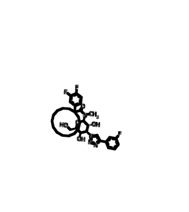 CN(C(=O)C1(c2ccc(F)c(F)c2)CCCCCCCCCCCCC1)[C@@H]1O[C@H](CO)[C@H](O)[C@H](n2cc(-c3cccc(F)c3)nn2)[C@H]1O